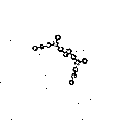 c1ccc(-c2ccc(-c3ccc(-c4nc(-c5ccccc5)cc(-c5ccc(-c6cccc7c(-c8ccc(-c9cc(-c%10ccccc%10)nc(-c%10ccc(-c%11ccc(-c%12ccccc%12)cc%11)cc%10)n9)cc8)cccc67)cc5)n4)cc3)cc2)cc1